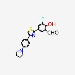 O=Cc1cc(-c2nc(-c3ccc(N4CCCC4)cc3)cs2)cc(F)c1O